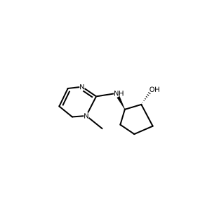 CN1CC=CN=C1N[C@@H]1CCC[C@H]1O